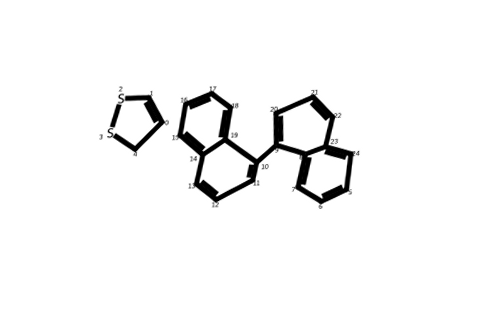 C1=CSSC1.c1ccc2c(-c3cccc4ccccc34)cccc2c1